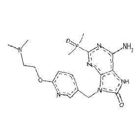 CN(C)CCOc1ccc(Cn2c(=O)[nH]c3c(N)nc(P(C)(C)=O)nc32)cn1